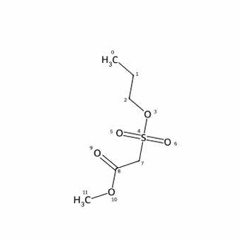 CCCOS(=O)(=O)CC(=O)OC